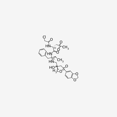 CC[C@](Cc1ccccc1)(NC[C@@](C)(O)CS(=O)(=O)c1ccc2c(c1)OCO2)NC(=O)[C@@H](CS(C)(=O)=O)NC(=O)CCl